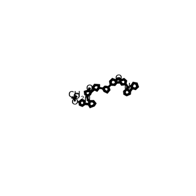 C=CC(=O)Oc1ccc2c3ccccc3n(-c3ccc4oc5ccc(-c6cccc(-c7ccc8oc9ccc(-n%10c%11ccccc%11c%11ccccc%11%10)cc9c8c7)c6)cc5c4c3)c2c1